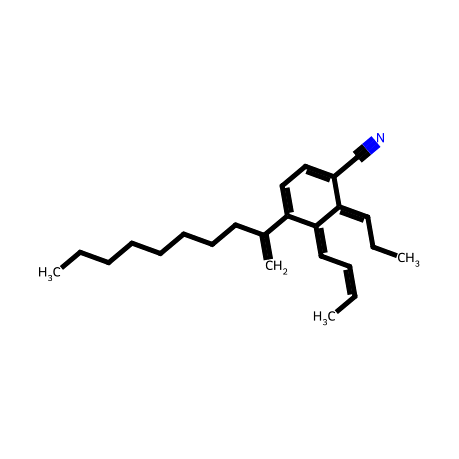 C=C(CCCCCCCC)c1ccc(C#N)c(=C/CC)/c1=C\C=C/C